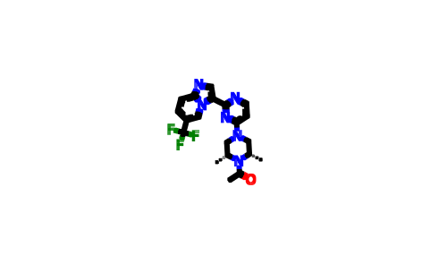 CC(=O)N1[C@H](C)CN(c2ccnc(-c3cnc4ccc(C(F)(F)F)cn34)n2)C[C@@H]1C